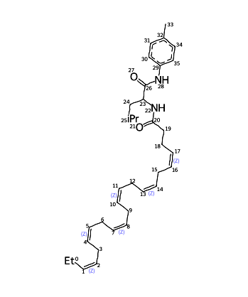 CC/C=C\C/C=C\C/C=C\C/C=C\C/C=C\C/C=C\CCC(=O)NC(CC(C)C)C(=O)Nc1ccc(C)cc1